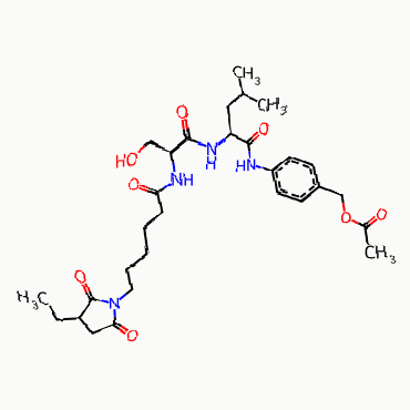 CCC1CC(=O)N(CCCCCC(=O)N[C@@H](CO)C(=O)N[C@@H](CC(C)C)C(=O)Nc2ccc(COC(C)=O)cc2)C1=O